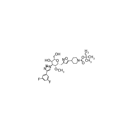 CO[C@@H]1[C@@H](n2cc(-c3cc(F)cc(F)c3)nn2)[C@@H](O)[C@@H](CO)O[C@@H]1Cc1cc(C2CCN(C(=O)OC(C)(C)C)CC2)on1